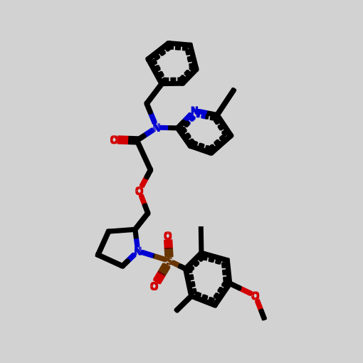 COc1cc(C)c(S(=O)(=O)N2CCCC2COCC(=O)N(Cc2ccccc2)c2cccc(C)n2)c(C)c1